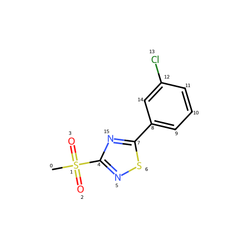 CS(=O)(=O)c1nsc(-c2cccc(Cl)c2)n1